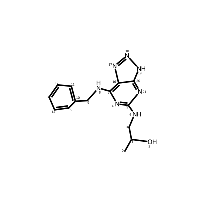 CC(O)CNc1nc(NCc2ccccc2)c2nn[nH]c2n1